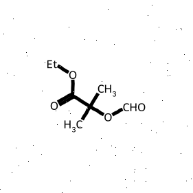 CCOC(=O)C(C)(C)OC=O